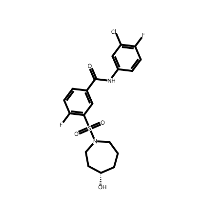 O=C(Nc1ccc(F)c(Cl)c1)c1ccc(F)c(S(=O)(=O)N2CCC[C@H](O)CC2)c1